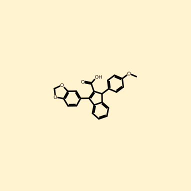 COc1ccc(C2C(C(=O)O)=C(c3ccc4c(c3)OCO4)c3ccccc32)cc1